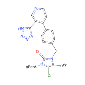 CCCCCn1c(Cl)c(CCC)n(Cc2ccc(-c3ccncc3-c3nnn[nH]3)cc2)c1=O